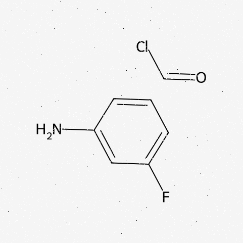 Nc1cccc(F)c1.O=CCl